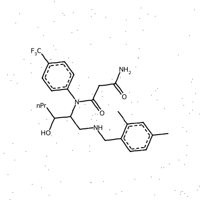 CCCC(O)C(CNCc1ccc(C)cc1C)N(C(=O)CC(N)=O)c1ccc(C(F)(F)F)cc1